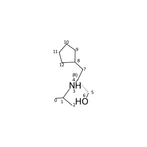 CC(C)N[C@@H](CO)CC1CCCC1